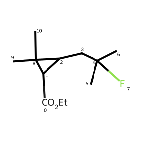 CCOC(=O)C1C(CC(C)(C)F)C1(C)C